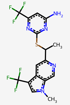 CC(Sc1nc(N)cc(C(F)(F)F)n1)c1cc2c(C(F)(F)F)cn(C)c2cn1